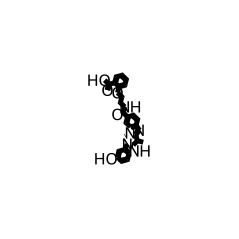 CC(c1nc2cc(O)ccc2[nH]1)c1nc2ccc(C(=O)NCCOc3ccccc3C(=O)O)cc2n1C